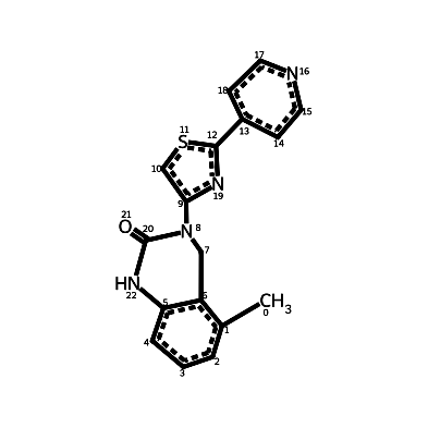 Cc1cccc2c1CN(c1csc(-c3ccncc3)n1)C(=O)N2